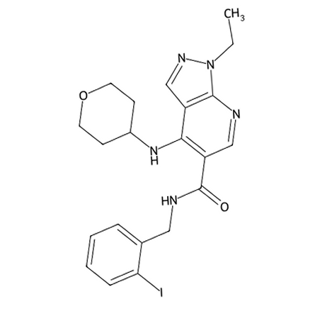 CCn1ncc2c(NC3CCOCC3)c(C(=O)NCc3ccccc3I)cnc21